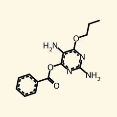 CCCOc1nc(N)nc(OC(=O)c2ccccc2)c1N